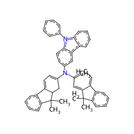 C=C(/C=C1\C(=C/C)c2ccccc2C1(C)C)N(C1=CC=C2c3ccccc3C(C)(C)C2C1)c1ccc2c(c1)c1ccccc1n2-c1ccccc1